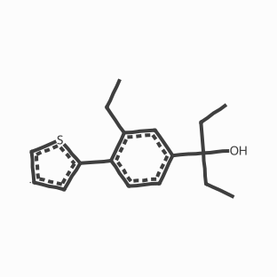 CCc1cc(C(O)(CC)CC)ccc1-c1c[c]cs1